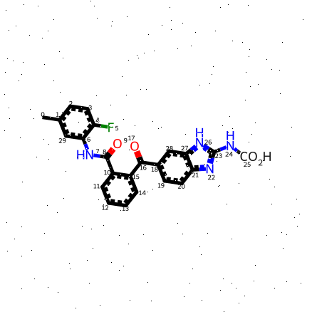 Cc1ccc(F)c(NC(=O)c2ccccc2C(=O)c2ccc3nc(NC(=O)O)[nH]c3c2)c1